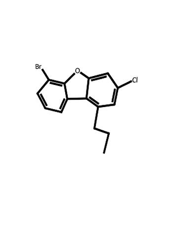 CCCc1cc(Cl)cc2oc3c(Br)cccc3c12